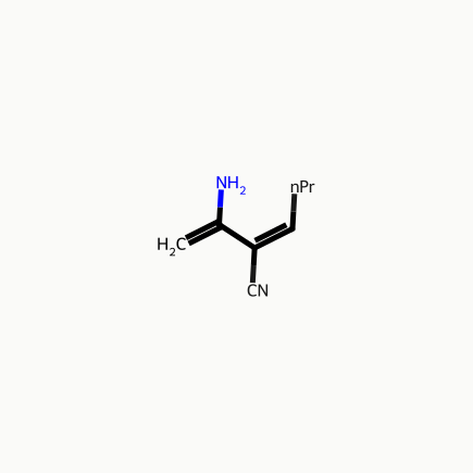 C=C(N)/C(C#N)=C\CCC